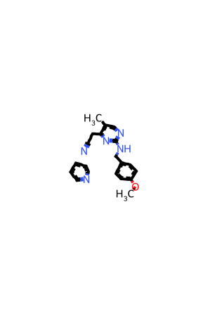 COc1ccc(CNc2ncc(C)c(CC#N)n2)cc1.c1ccncc1